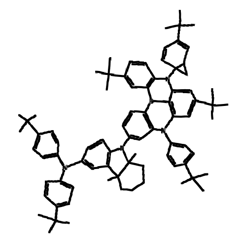 CC(C)(C)C1=CC2CC2(N2c3ccc(C(C)(C)C)cc3B3c4ccc(N5c6ccc(N(c7ccc(C(C)(C)C)cc7)c7ccc(C(C)(C)C)cc7)cc6C6(C)CCCCC56C)cc4N(c4ccc(C(C)(C)C)cc4)c4cc(C(C)(C)C)cc2c43)C=C1